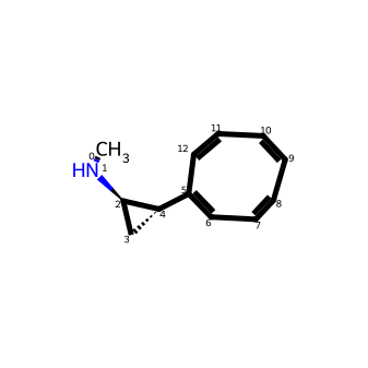 CN[C@@H]1C[C@H]1C1=C/C=C\C=C/C=C\1